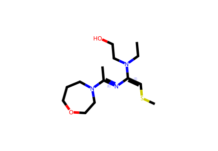 CCN(CCO)C(=C/SC)/N=C(\C)N1CCCOCC1